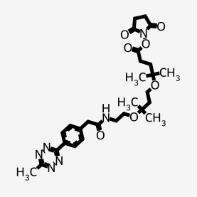 Cc1nnc(-c2ccc(CC(=O)NCCOC(C)(C)CCOC(C)(C)CCC(=O)ON3C(=O)CCC3=O)cc2)nn1